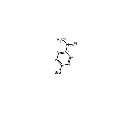 CCN(C)c1ccc(C(C)(C)C)cc1